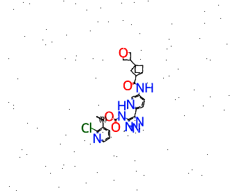 C[C@@H](OC(=O)Nc1c(-c2ccc(NC(=O)C3CC4(C5COC5)CC3C4)cn2)nnn1C)c1cccnc1Cl